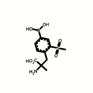 CC(N)(Cc1ccc(B(O)O)cc1S(C)(=O)=O)C(=O)O